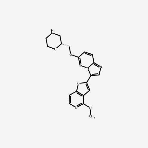 COc1nccc2oc(-c3cnc4ccc(OC[C@H]5CNCCO5)nn34)cc12